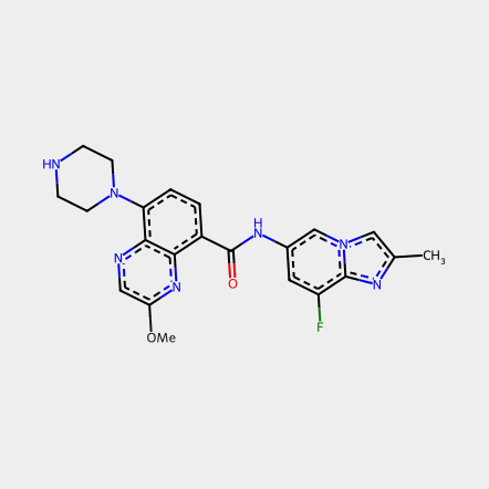 COc1cnc2c(N3CCNCC3)ccc(C(=O)Nc3cc(F)c4nc(C)cn4c3)c2n1